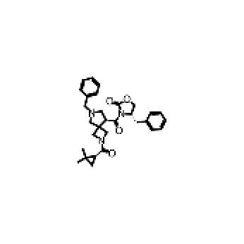 CC1(C)C[C@@H]1C(=O)N1CC2(CN(Cc3ccccc3)C[C@H]2C(=O)N2C(=O)OC[C@@H]2Cc2ccccc2)C1